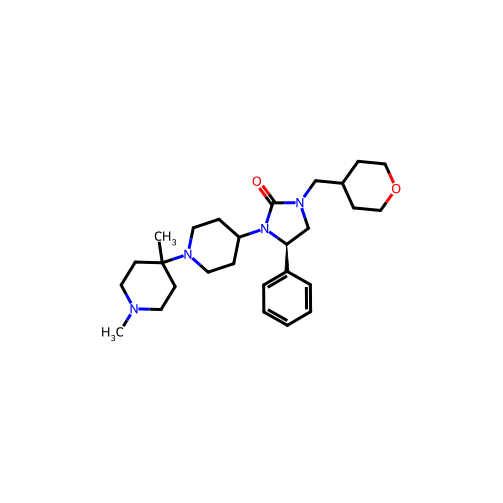 CN1CCC(C)(N2CCC(N3C(=O)N(CC4CCOCC4)C[C@H]3c3ccccc3)CC2)CC1